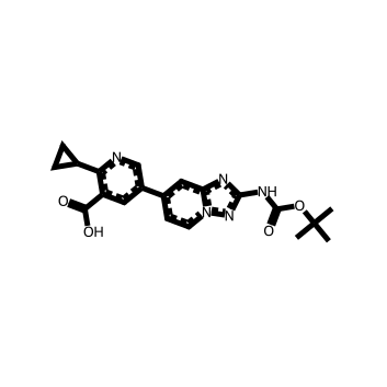 CC(C)(C)OC(=O)Nc1nc2cc(-c3cnc(C4CC4)c(C(=O)O)c3)ccn2n1